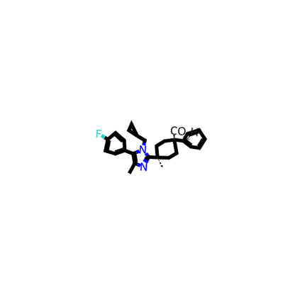 Cc1nc([C@]2(C)CC[C@](C(=O)O)(c3ccccc3)CC2)n(CC2CC2)c1-c1ccc(F)cc1